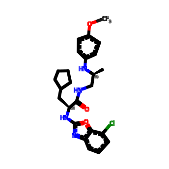 C[C@@H](CNC(=O)[C@H](CC1CCCC1)Nc1nc2cccc(Cl)c2o1)Nc1ccc(OC(F)(F)F)cc1